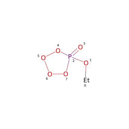 CCOP1(=O)OOOO1